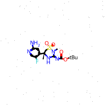 CN1/C(=N\C(=O)OC(C)(C)C)N[C@](C)(c2cc(N)ncc2F)CS1(=O)=O